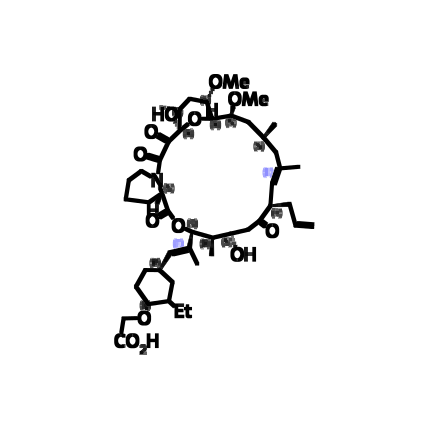 C=CC[C@@H]1/C=C(\C)C[C@H](C)C[C@H](OC)[C@H]2O[C@@](O)(C(=O)C(=O)N3CCCC[C@H]3C(=O)O[C@H](/C(C)=C/[C@@H]3CC[C@@H](OCC(=O)O)C(CC)C3)[C@H](C)[C@@H](O)CC1=O)[C@H](C)C[C@@H]2OC